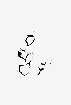 Cc1nc(C(F)(F)F)cn1[C@H]1CCCCN(c2cnn(-c3ccc(Cl)cc3)c2C(C)C)C1=O